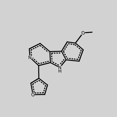 COc1ccc2[nH]c3c(-c4ccoc4)nccc3c2c1